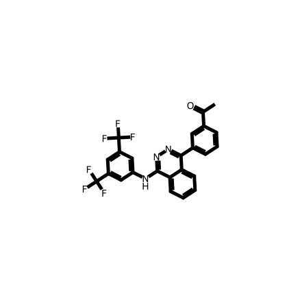 CC(=O)c1cccc(-c2nnc(Nc3cc(C(F)(F)F)cc(C(F)(F)F)c3)c3ccccc23)c1